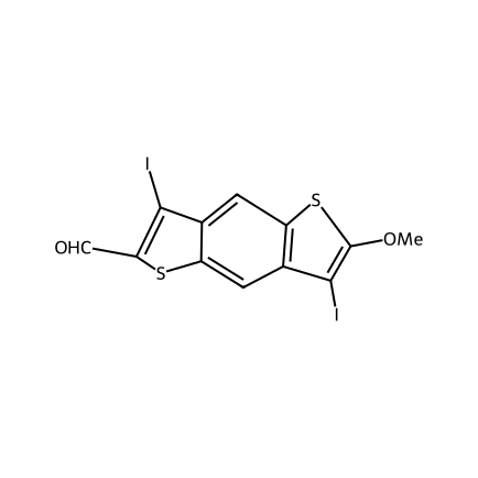 COc1sc2cc3c(I)c(C=O)sc3cc2c1I